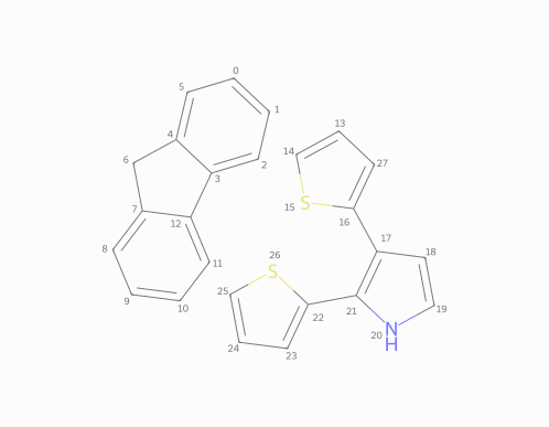 c1ccc2c(c1)Cc1ccccc1-2.c1csc(-c2cc[nH]c2-c2cccs2)c1